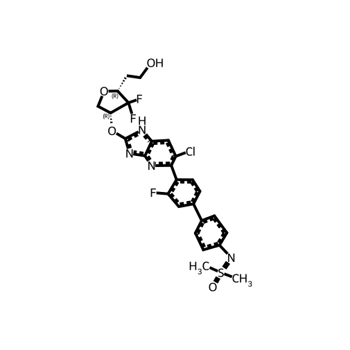 CS(C)(=O)=Nc1ccc(-c2ccc(-c3nc4nc(O[C@@H]5CO[C@H](CCO)C5(F)F)[nH]c4cc3Cl)c(F)c2)cc1